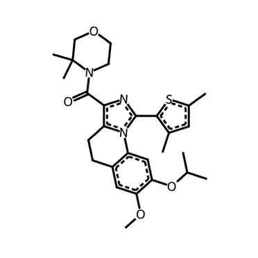 COc1cc2c(cc1OC(C)C)-n1c(-c3sc(C)cc3C)nc(C(=O)N3CCOCC3(C)C)c1CC2